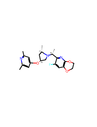 Cc1cc(O[C@@H]2C[C@H](C)N([C@H](C)c3nc4c(cc3F)OCCO4)C2)cc(C)n1